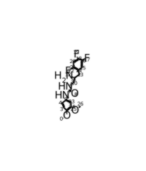 COc1ccc(NC(=O)NC[C@@H](N)Cc2cc(F)c(F)cc2F)cc1OC